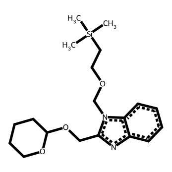 C[Si](C)(C)CCOCn1c(COC2CCCCO2)nc2[c]cccc21